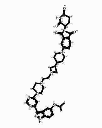 CC(C)Oc1ccc2[nH]nc(-c3cc(N4CCN(CCN5CC(C6CCN(c7ccc8c(c7)C(=O)N(C7CCC(=O)NC7=O)C8=O)CC6)C5)CC4)ncn3)c2c1